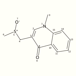 Cn1cc(C[S+](C)[O-])c(=O)c2ccccc21